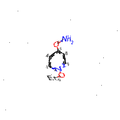 CCO[n+]1ccc(ON)cc1